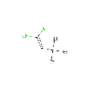 CCC(C=C(Cl)Cl)(CC)CC